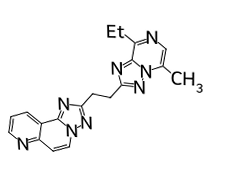 CCc1ncc(C)n2nc(CCc3nc4c5cccnc5ccn4n3)nc12